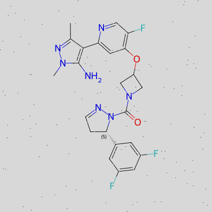 Cc1nn(C)c(N)c1-c1cc(OC2CN(C(=O)N3N=CC[C@H]3c3cc(F)cc(F)c3)C2)c(F)cn1